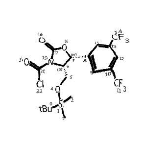 CC(C)(C)[Si](C)(C)OC[C@H]1[C@@H](c2cc(C(F)(F)F)cc(C(F)(F)F)c2)OC(=O)N1C(=O)Cl